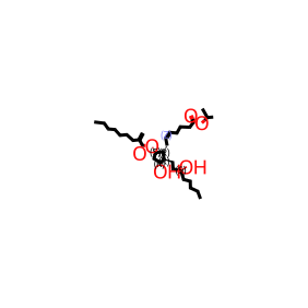 C=C(CCCCCCC)C(=O)O[C@H]1C[C@@H](O)[C@H](CC[C@@H](O)CCCCC)[C@H]1C/C=C\CCCC(=O)OC(C)C